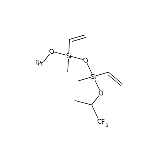 C=C[Si](C)(OC(C)C)O[Si](C)(C=C)OC(C)C(F)(F)F